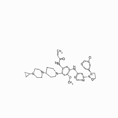 C=CC(=O)Nc1cc(Nc2cc(N3OCC[C@@H]3c3cccc(Cl)c3)ncn2)c(OC)cc1N1CCC(N2CCN(C3CC3)CC2)CC1